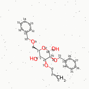 C=CCO[C@H]1[C@H](O)[C@@H](COCc2ccccc2)O[C@H](O)[C@H]1OCc1ccccc1